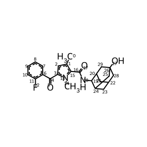 Cc1cc(C(=O)c2ccccc2F)n(C)c1C(=O)NC1C2CC3CC1CC(O)(C3)C2